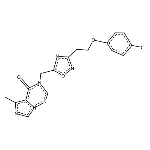 Cc1ncn2ncn(Cc3nc(CCOc4ccc(Cl)cc4)no3)c(=O)c12